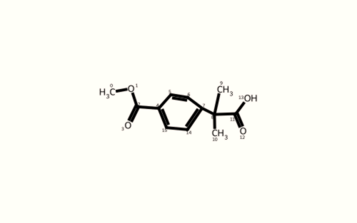 COC(=O)c1ccc(C(C)(C)C(=O)O)cc1